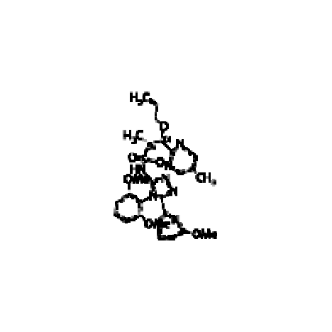 C=CCO[C@@H](c1ncc(C)cn1)[C@@H](C)S(=O)(=O)Nc1nnc(-c2cccc(OC)n2)n1-c1c(OC)cccc1OC